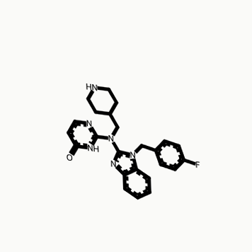 O=c1ccnc(N(CC2CCNCC2)c2nc3ccccc3n2Cc2ccc(F)cc2)[nH]1